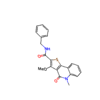 COc1c(C(=O)NCc2ccccc2)sc2c1c(=O)n(C)c1ccccc21